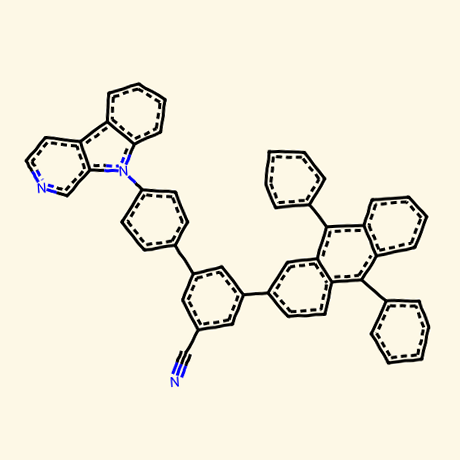 N#Cc1cc(-c2ccc(-n3c4ccccc4c4ccncc43)cc2)cc(-c2ccc3c(-c4ccccc4)c4ccccc4c(-c4ccccc4)c3c2)c1